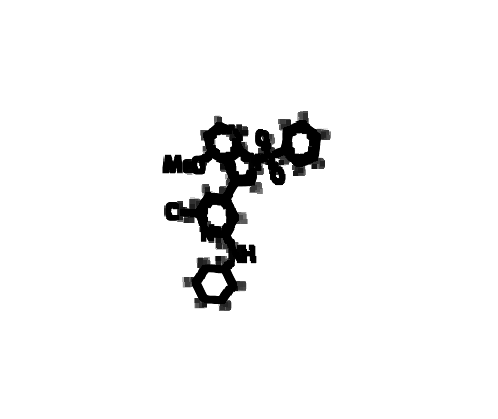 COc1ccnc2c1c(-c1cc(Cl)nc(NC3CCCCC3)c1)cn2S(=O)(=O)c1ccccc1